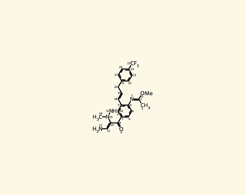 CO/C(C)=N/c1ccc(C(=O)/C(=C/N)N(C)N)cc1/C=C/Cc1ccc(C(F)(F)F)cc1